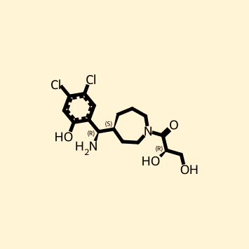 N[C@@H](c1cc(Cl)c(Cl)cc1O)[C@H]1CCCN(C(=O)[C@H](O)CO)CC1